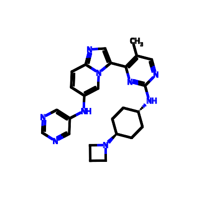 Cc1cnc(N[C@H]2CC[C@H](N3CCC3)CC2)nc1-c1cnc2ccc(Nc3cncnc3)cn12